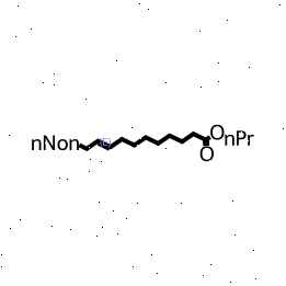 CCCCCCCCCC/C=C/CCCCCCCC(=O)OCCC